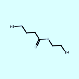 O=C(CCCS)OCCS